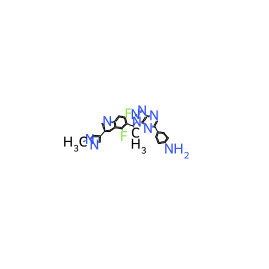 CC(c1c(F)cc2ncc(-c3cnn(C)c3)cc2c1F)n1nnc2ncc(-c3ccc(N)cc3)nc21